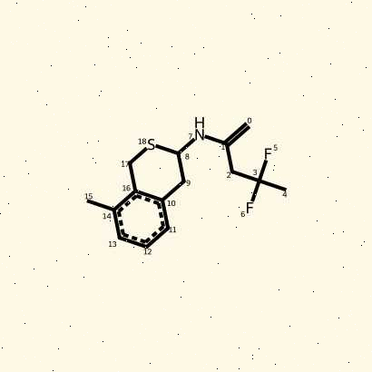 C=C(CC(C)(F)F)NC1Cc2cccc(C)c2CS1